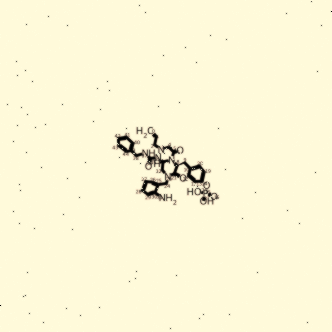 C=CCN1CC(=O)N2[C@@H](Cc3ccc(OP(=O)(O)O)cc3)C(=O)N(Cc3ccccc3N)C[C@@H]2N1C(=O)NCc1ccccc1